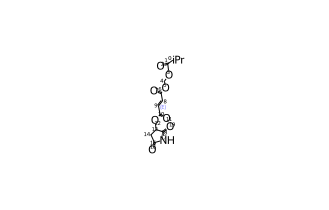 CC(C)C(=O)OCOC(=O)/C=C/C(=O)OC1CC(=O)NC1=O